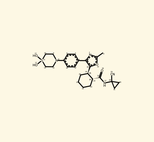 Cc1nc(-c2ccc(N3CCS(O)(O)CC3)cc2)c([C@@H]2CCCC[C@H]2C(=O)NC2(C#N)CC2)o1